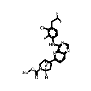 CC(C)(C)OC(=O)N1CC2CC[C@H]1CN2c1ccc2ncnc(Nc3ccc(CC(F)F)c(Cl)c3F)c2n1